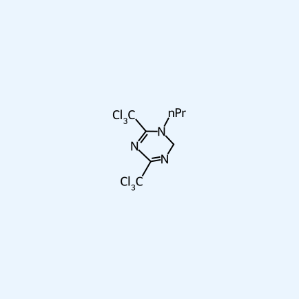 CCCN1CN=C(C(Cl)(Cl)Cl)N=C1C(Cl)(Cl)Cl